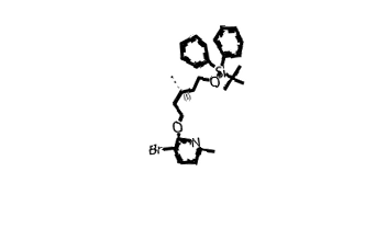 Cc1ccc(Br)c(OCC[C@H](C)CCO[Si](c2ccccc2)(c2ccccc2)C(C)(C)C)n1